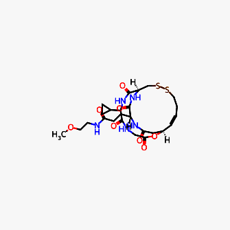 COCCNC(=O)CC[C@H]1NC(=O)C[C@H]2C=CCCSSC[C@@H](NC1=O)C(=O)NC(C1CC1)C(=O)NCC(=O)O2